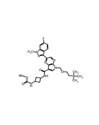 Cn1nc(-c2cnc3c(n2)c(C(=O)NC2CC(NC(=O)OC(C)(C)C)C2)cn3COCC[Si](C)(C)C)c2ccc(F)cc21